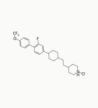 Fc1cc(C2CCC(CCC3CC[SiH](Cl)CC3)CC2)ccc1-c1ccc(OC(F)(F)F)cc1